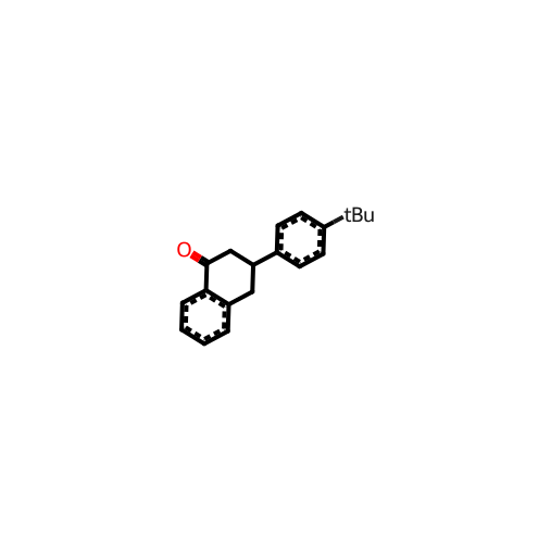 CC(C)(C)c1ccc(C2CC(=O)c3ccccc3C2)cc1